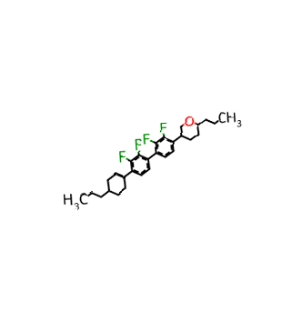 CCCC1CCC(c2ccc(-c3ccc(C4CCC(CCC)OC4)c(F)c3F)c(F)c2F)CC1